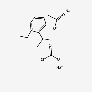 CC(=O)[O-].CCc1ccccc1C(C)C.O=C([O-])Cl.[Na+].[Na+]